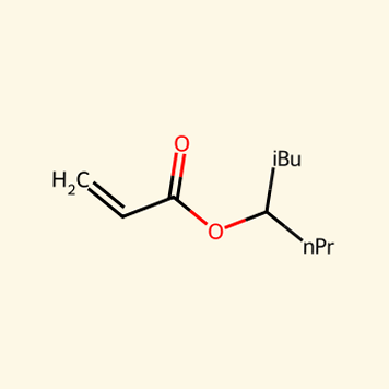 C=CC(=O)OC(CCC)C(C)CC